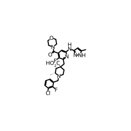 Cc1cc(Nc2cc(C(=O)N3CCOCC3)c(F)c(C[C@@]3(C(=O)O)CCN(Cc4cccc(Cl)c4F)[C@H](C)C3)n2)n[nH]1